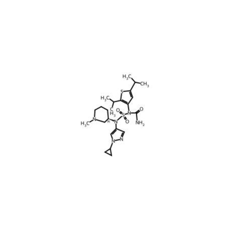 CC(C)c1cc(N(C(N)=O)S(=O)(=O)N(c2cnn(C3CC3)c2)[C@@H]2CCCN(C)C2)c(C(C)C)s1